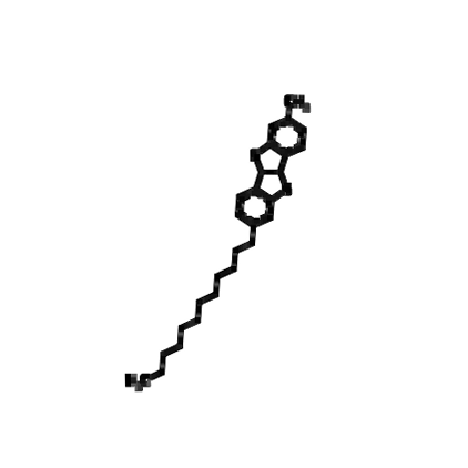 CCCCCCCCCCCCc1ccc2c(c1)SC1c3ccc(C)cc3SC21